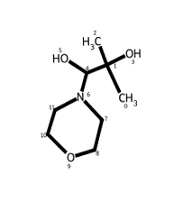 CC(C)(O)C(O)N1CCOCC1